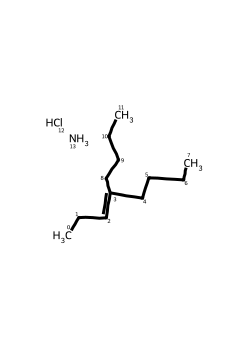 CCC=C(CCCC)CCCC.Cl.N